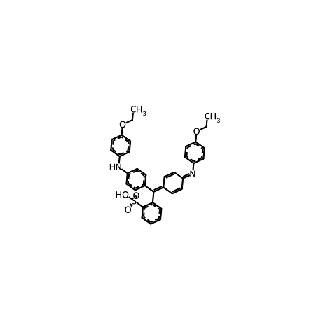 CCOc1ccc(N=C2C=CC(=C(c3ccc(Nc4ccc(OCC)cc4)cc3)c3ccccc3S(=O)(=O)O)C=C2)cc1